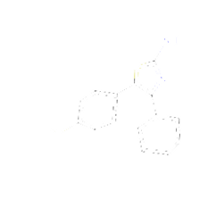 CSc1ccc(-c2sc(N)nc2-c2cc[c]cc2)cc1